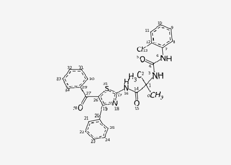 CC(C)(NC(=O)Nc1ccccc1Cl)C(=O)Nc1nc(-c2ccccc2)c(C(=O)c2ccccc2)s1